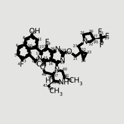 C#Cc1c(F)ccc2cc(O)cc(-c3nc4c5c(nc(OCC6(CN7CC[C@@H](C(F)(F)F)C7)CC6)nc5c3F)N3C[C@@H](C)N[C@@H](CC)[C@H]3CO4)c12